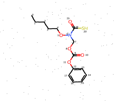 CCCCCON(COC(=O)Oc1ccccc1)C(=O)S